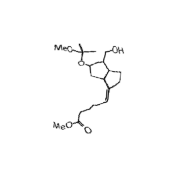 COC(=O)CCCC=C1CCC2C1CC(OC(C)(C)OC)C2CO